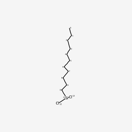 CCCCCCCCCCC[Si](Cl)Cl